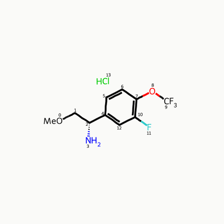 COC[C@@H](N)c1ccc(OC(F)(F)F)c(F)c1.Cl